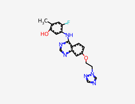 Cc1cc(F)c(Nc2ncnc3cc(OCCn4cncn4)ccc23)cc1O